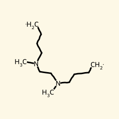 [CH2]CCCN(C)CCN(C)CCC[CH2]